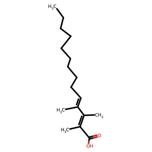 CCCCCCCCC/C=C(C)/C(C)=C(\C)C(=O)O